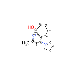 Cc1cc(N2CCCC2)c2c(n1)C(O)CCCC2